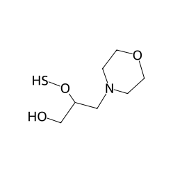 OCC(CN1CCOCC1)OS